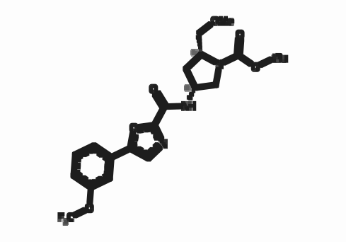 COC[C@H]1C[C@@H](NC(=O)c2ncc(-c3cccc(OC(F)(F)F)c3)o2)CN1C(=O)OC(C)(C)C